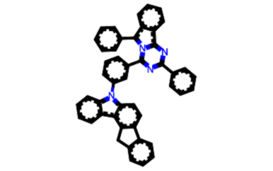 c1ccc(-c2nc(-c3cccc(-n4c5ccccc5c5c6c(ccc54)-c4ccccc4C6)c3)n3c(-c4ccccc4)c4ccccc4c3n2)cc1